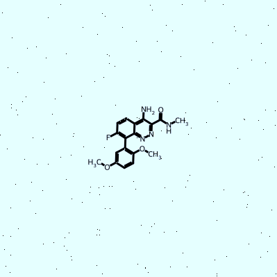 CNC(=O)c1nnc2c(-c3cc(OC)ccc3OC)c(F)ccc2c1N